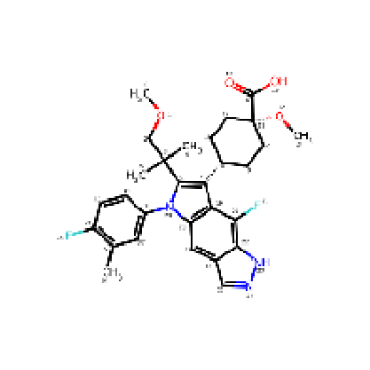 COCC(C)(C)c1c([C@H]2CC[C@](OC)(C(=O)O)CC2)c2c(F)c3[nH]ncc3cc2n1-c1ccc(F)c(C)c1